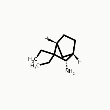 CCC1(CC)[C@@H]2CC[C@@H](C2)[C@@H]1N